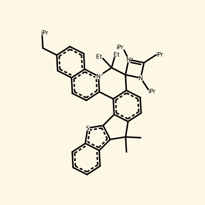 CCC1(CC)[n+]2c(ccc3cc(CC(C)C)ccc32)-c2c(ccc3c2-c2sc4ccccc4c2C3(C)C)C12N(C(C)C)C(C(C)C)=[N+]2C(C)C